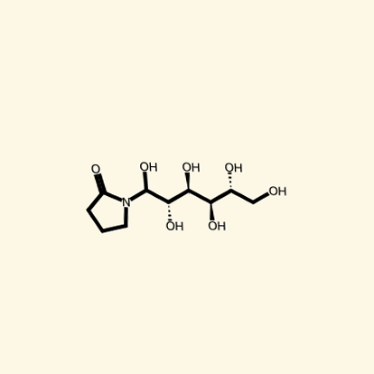 O=C1CCCN1C(O)[C@@H](O)[C@@H](O)[C@H](O)[C@H](O)CO